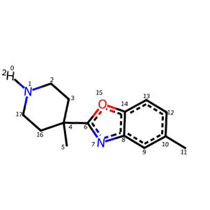 [2H]N1CCC(C)(c2nc3cc(C)ccc3o2)CC1